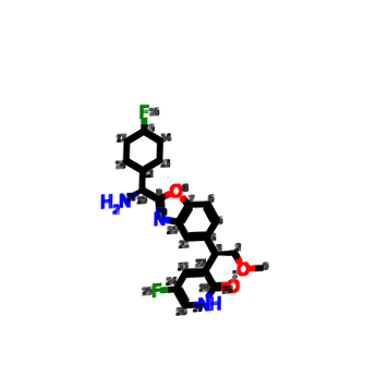 COC[C@H](c1ccc2oc([C@@H](N)C3CCC(F)CC3)nc2c1)c1cc(F)c[nH]c1=O